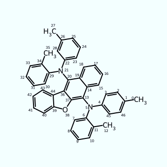 Cc1ccc(N(c2ccccc2C)c2c3ccccc3c(N(c3cccc(C)c3)c3ccccc3C)c3c2oc2ccccc23)cc1